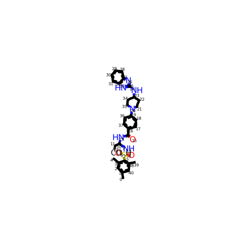 Cc1cc(C)c(S(=O)(=O)NC(CC(=O)O)NC(=O)c2ccc(N3CCC(Nc4nc5ccccc5[nH]4)CC3)cc2)c(C)c1